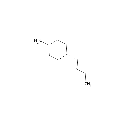 CCC=CC1CCC(N)CC1